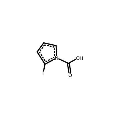 O=C(O)n1cccc1I